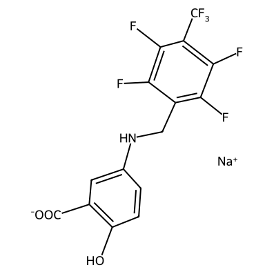 O=C([O-])c1cc(NCc2c(F)c(F)c(C(F)(F)F)c(F)c2F)ccc1O.[Na+]